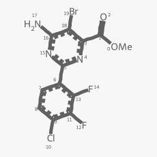 COC(=O)c1nc(-c2ccc(Cl)c(F)c2F)nc(N)c1Br